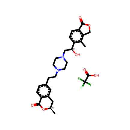 Cc1c([C@@H](O)CN2CCN(CCc3ccc4c(c3)C[C@@H](C)OC4=O)CC2)ccc2c1COC2=O.O=C(O)C(F)(F)F